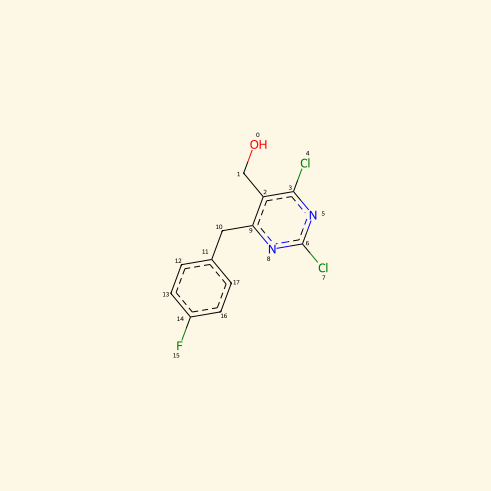 OCc1c(Cl)nc(Cl)nc1Cc1ccc(F)cc1